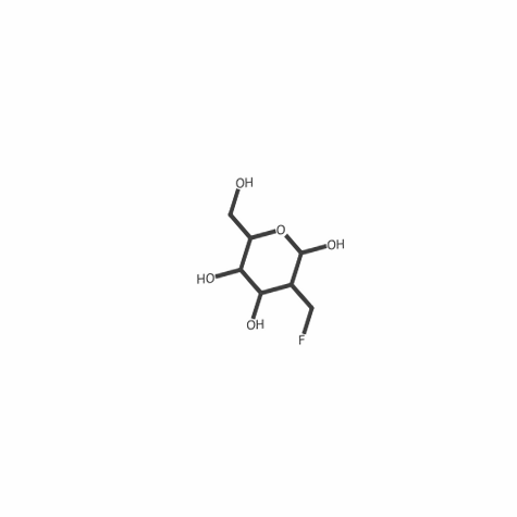 OCC1OC(O)C(CF)C(O)C1O